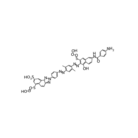 Cc1cc(N=Nc2c(SOOO)cc3cc(NC(=O)c4ccc(N)cc4)ccc3c2O)c(C)cc1N=Nc1ccc(-n2nc3ccc4c(SOOO)cc(S(=O)(=O)O)cc4c3n2)cc1